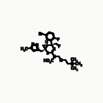 Cc1cn(C[C@]23C[C@H]2[C@@](CF)(c2cc(Br)ccc2F)N=C(N(COCC[Si](C)(C)C)C(=O)O)S3)nn1